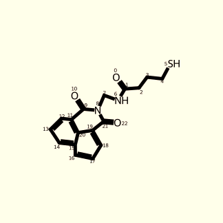 O=C(CCCS)NCN1C(=O)c2cccc3cccc(c23)C1=O